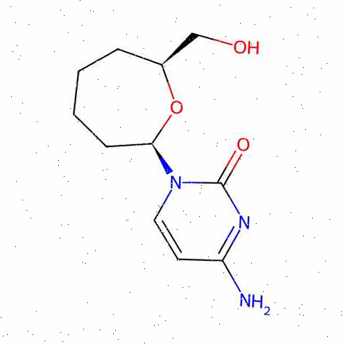 Nc1ccn([C@H]2CCCC[C@@H](CO)O2)c(=O)n1